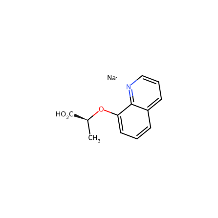 C[C@H](Oc1cccc2cccnc12)C(=O)O.[Na]